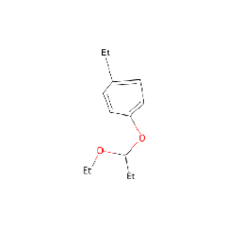 CCOC(CC)Oc1ccc(CC)cc1